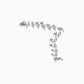 Cl.O.O.O.O.O.O.O.O.O.O.O.O.[MgH2]